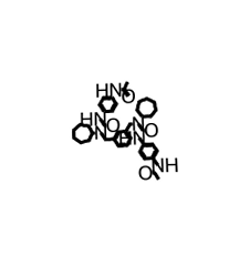 CC(=O)Nc1ccc(NC(=O)N(Cc2cccc(CN(C(=O)Nc3ccc(NC(C)=O)cc3)C3CCCCCC3)c2)C2CCCCCC2)cc1